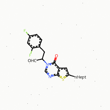 CCCCCCCc1cc2c(=O)n(C(C=O)Cc3ccc(F)cc3F)cnc2s1